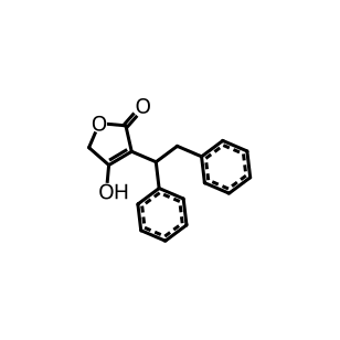 O=C1OCC(O)=C1C(Cc1ccccc1)c1ccccc1